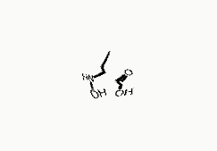 CCNO.O=CO